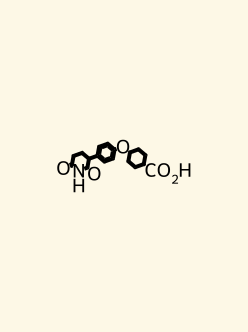 O=C1CCC(c2ccc(O[C@H]3CC[C@H](C(=O)O)CC3)cc2)C(=O)N1